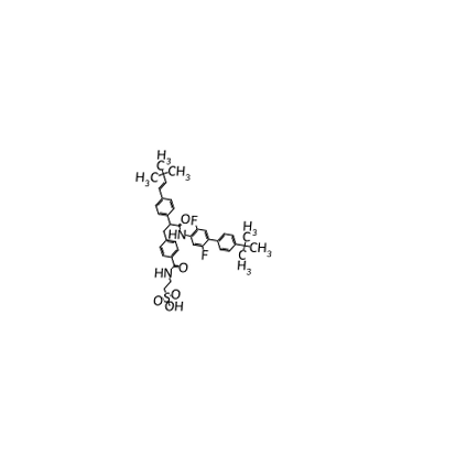 CC(C)(C)/C=C/c1ccc(C(Cc2ccc(C(=O)NCCS(=O)(=O)O)cc2)C(=O)Nc2cc(F)c(-c3ccc(C(C)(C)C)cc3)cc2F)cc1